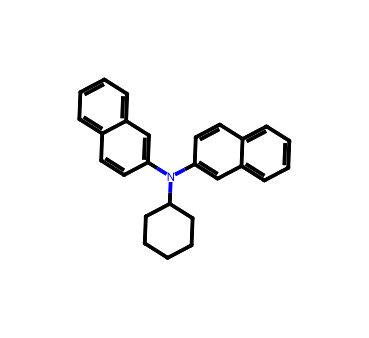 c1ccc2cc(N(c3ccc4ccccc4c3)C3CCCCC3)ccc2c1